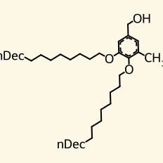 CCCCCCCCCCCCCCCCCCOc1cc(CO)cc(C)c1OCCCCCCCCCCCCCCCCCC